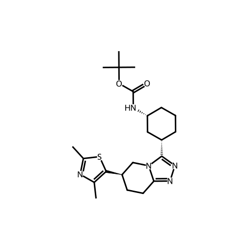 Cc1nc(C)c([C@@H]2CCc3nnc([C@H]4CCC[C@@H](NC(=O)OC(C)(C)C)C4)n3C2)s1